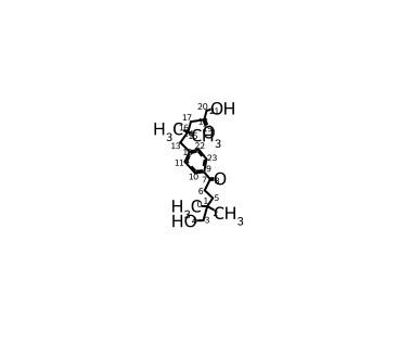 CC(C)(CO)CCC(=O)c1ccc(CC(C)(C)CC(=O)CO)cc1